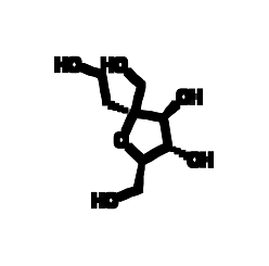 OCC[C@@]1(CO)O[C@H](CO)[C@@H](O)[C@@H]1O